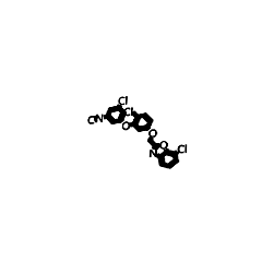 [C-]#[N+]c1cc(Cl)cc(Oc2cc(OCc3nc4cccc(Cl)c4o3)ccc2Cl)c1